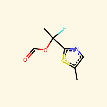 Cc1cnc(C(C)(F)OC=O)s1